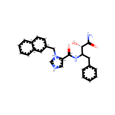 NC(=O)[C@@H](O)C(Cc1ccccc1)NC(=O)c1cncn1Cc1ccc2ccccc2c1